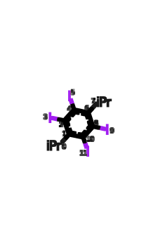 CC(C)c1c(I)c(I)c(C(C)C)c(I)c1I